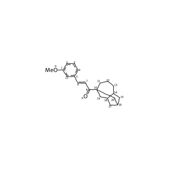 COc1cccc(/C=C/C(=O)C23CCCC4CC(CC4C2)C3)c1